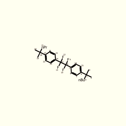 CCCCC(C)(C)c1ccc(C(F)(F)C(F)(F)c2ccc(C(C)(C)CCC)cc2)cc1